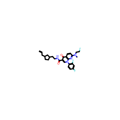 C=CCC1CCC(CCNC(=O)c2cn(-c3ccc(F)cc3F)c3nc(N(C)CCF)ccc3c2=O)C1